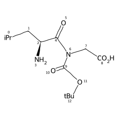 CC(C)C[C@H](N)C(=O)N(CC(=O)O)C(=O)OC(C)(C)C